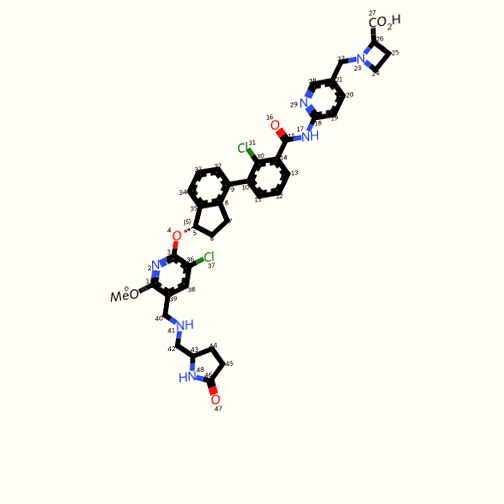 COc1nc(O[C@H]2CCc3c(-c4cccc(C(=O)Nc5ccc(CN6CCC6C(=O)O)cn5)c4Cl)cccc32)c(Cl)cc1CNCC1CCC(=O)N1